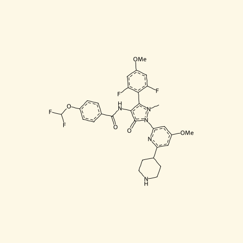 COc1cc(C2CCNCC2)nc(-n2c(=O)c(NC(=O)c3ccc(OC(F)F)cc3)c(-c3c(F)cc(OC)cc3F)n2C)c1